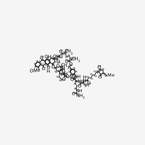 COc1cccc2c1C(=O)c1c(O)c3c(c(O)c1C2=O)C[C@@](O)(C(=O)COC(=O)N(C)CCN(C)C(=O)OCc1ccc(NC(=O)[C@H](CCCNC(N)=O)NC(=O)[C@@H](NC(=O)CCCCCN2C(=O)CC(SC)C2=O)C(C)C)cc1)C[C@@H]3O[C@H]1CC2[C@H](O[C@@H]3[C@@H](OC)OCCN23)[C@H](C)O1